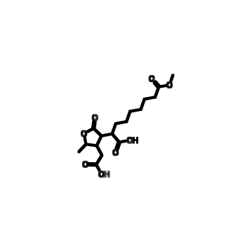 COC(=O)CCCCCCC(C(=O)O)C1C(=O)OC(C)C1CC(=O)O